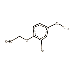 O=CCOc1ccc(OC(F)(F)F)cc1Br